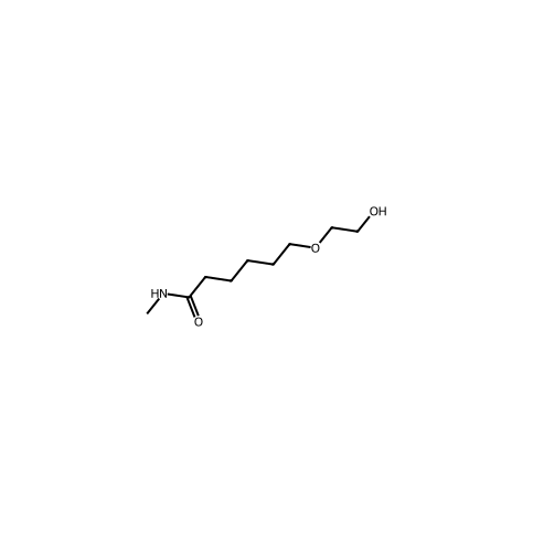 CNC(=O)CCCCCOCCO